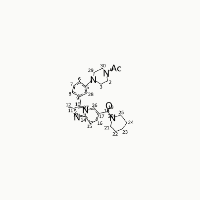 CC(=O)N1CCN(c2cccc(-c3c(C)nc4ccc(C(=O)N5CCCCC5)cn34)c2)CC1